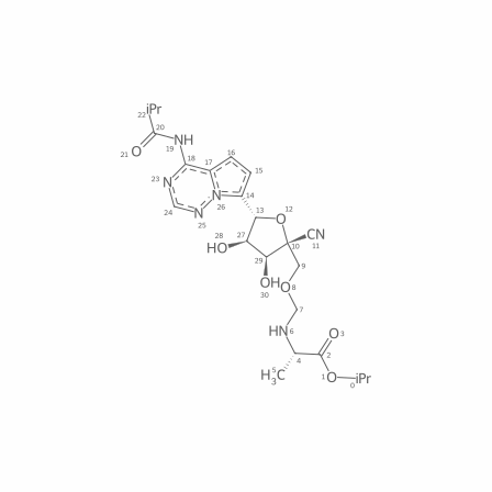 CC(C)OC(=O)[C@H](C)NCOC[C@@]1(C#N)O[C@@H](c2ccc3c(NC(=O)C(C)C)ncnn23)[C@H](O)[C@@H]1O